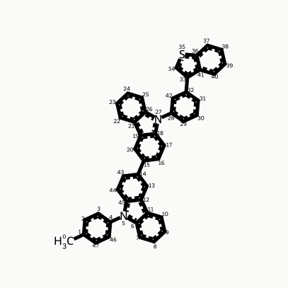 Cc1ccc(-n2c3ccccc3c3cc(-c4ccc5c(c4)c4ccccc4n5-c4cccc(-c5csc6ccccc56)c4)ccc32)cc1